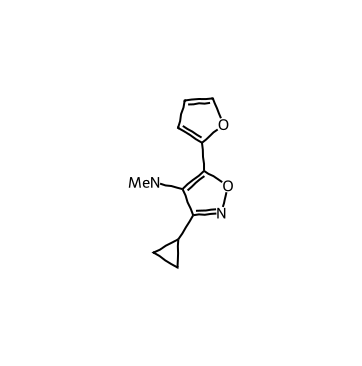 CNc1c(C2CC2)noc1-c1ccco1